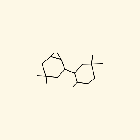 CC1(C)CCC(O)C(C2CC(C)(C)CC3OC32)C1